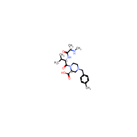 CN[C@@H](C)C(=O)N[C@H](C(=O)N1CCN(Cc2ccc(C)cc2)C[C@H]1C(=O)O)C(C)C